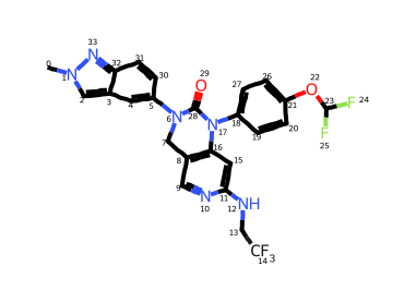 Cn1cc2cc(N3Cc4cnc(NCC(F)(F)F)cc4N(c4ccc(OC(F)F)cc4)C3=O)ccc2n1